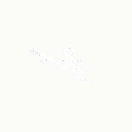 CCCNCC(O)COc1ccc(/C(=C(/CC)c2ccccc2)c2ccc(OC(C)=O)cc2)cc1